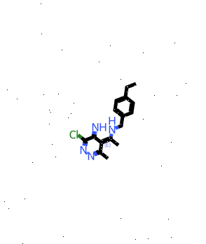 CCc1ccc(CN/C(C)=C2\C(=N)C(Cl)=NN=C2C)cc1